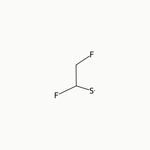 FCC(F)[S]